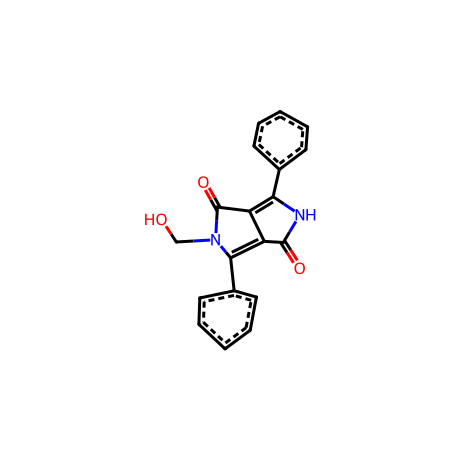 O=C1NC(c2ccccc2)=C2C(=O)N(CO)C(c3ccccc3)=C12